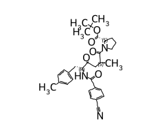 Cc1ccc(C[C@@H](NC(=O)c2ccc(C#N)cc2)C(=O)C[C@H](C)C(=O)N2CCC[C@H]2C(=O)OC(C)(C)C)cc1